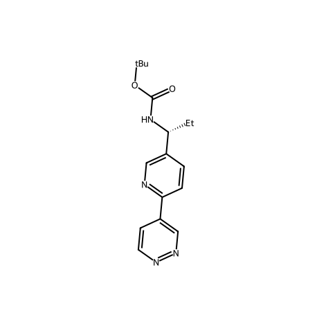 [CH2]C[C@@H](NC(=O)OC(C)(C)C)c1ccc(-c2ccnnc2)nc1